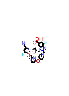 N#Cc1cnc(OCc2nccc(OC3CCN(Cc4nc5c(F)cc(C(=O)O)cc5n4C[C@@H]4CCO4)CC3)n2)c(F)c1